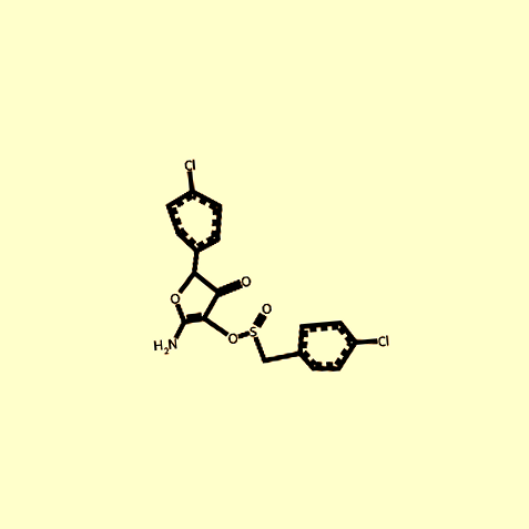 NC1=C(OS(=O)Cc2ccc(Cl)cc2)C(=O)C(c2ccc(Cl)cc2)O1